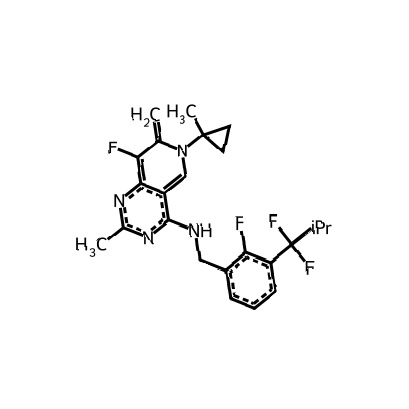 C=C1C(F)=c2nc(C)nc(NCc3cccc(C(F)(F)C(C)C)c3F)c2=CN1C1(C)CC1